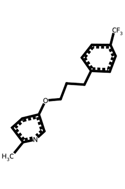 Cc1ccc(OCCCc2ccc(C(F)(F)F)cc2)cn1